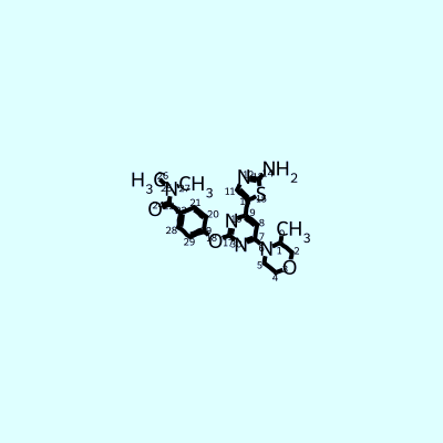 CC1COCCN1c1cc(-c2cnc(N)s2)nc(Oc2ccc(C(=O)N(C)C)cc2)n1